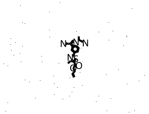 C=CCOC(=O)c1sc(-c2ccc3c(c2)c(C#N)cn3C(C)C#N)nc1C